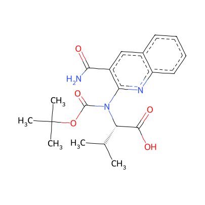 CC(C)[C@@H](C(=O)O)N(C(=O)OC(C)(C)C)c1nc2ccccc2cc1C(N)=O